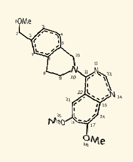 COCc1ccc2c(c1)CCN(c1ncnc3cc(OC)c(OC)cc13)C2